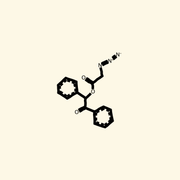 [N-]=[N+]=NCC(=O)OC(C(=O)c1ccccc1)c1ccccc1